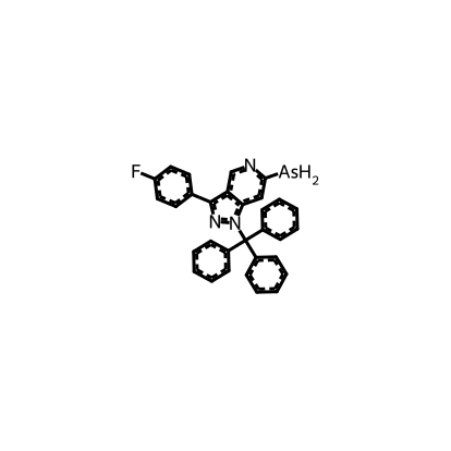 Fc1ccc(-c2nn(C(c3ccccc3)(c3ccccc3)c3ccccc3)c3cc([AsH2])ncc23)cc1